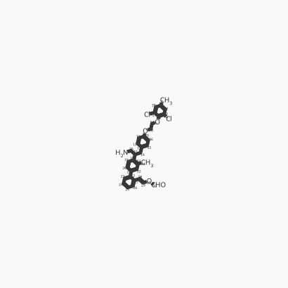 Cc1cc(Cl)c(OCCOc2ccc(CC(CN)c3ccc(-c4ccccc4/C=C/OC=O)cc3C)cc2)c(Cl)c1